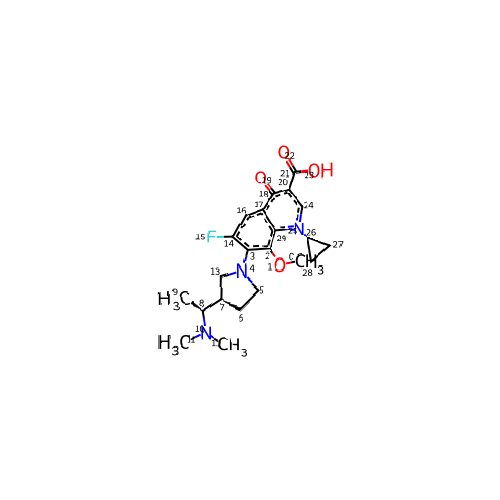 COc1c(N2CC[C@@H]([C@H](C)N(C)C)C2)c(F)cc2c(=O)c(C(=O)O)cn(C3CC3)c12